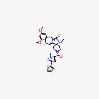 CCN1C(=O)N2Cc3cc(OC)cc(OC)c3[C@@H](C)C=C2C12CCN(C(=O)c1cc(-c3cccs3)nn1C)CC2